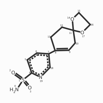 NS(=O)(=O)c1ccc(C2=CCC3(CC2)OCCO3)cn1